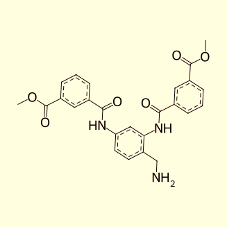 COC(=O)c1cccc(C(=O)Nc2ccc(CN)c(NC(=O)c3cccc(C(=O)OC)c3)c2)c1